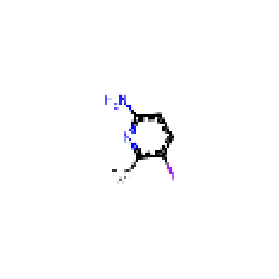 Nc1ccc(I)c(C(F)(F)F)n1